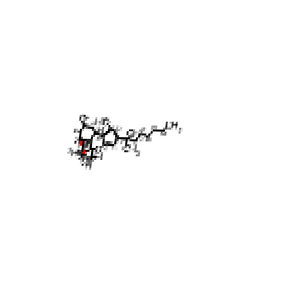 [2H]C([2H])([2H])C1(C([2H])([2H])[2H])Oc2cc(C(C)(C)CCCCCC)cc(O)c2[C@@H]2CC(=O)CC[C@H]21